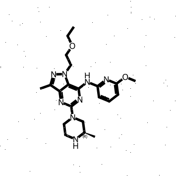 CCOCCn1nc(C)c2nc(N3CCN[C@H](C)C3)nc(Nc3cccc(OC)n3)c21